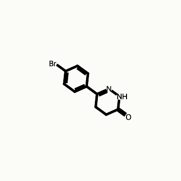 O=C1CCC(c2ccc(Br)cc2)=NN1